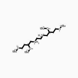 CC(C)(C)OCCC(C[SiH2]CC[SiH2]CC(CCOC(C)(C)C)OC(C)(C)C)OC(C)(C)C